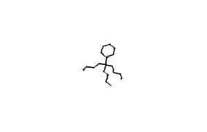 CCCCC(CCCC)(CCCC)C1CCCCC1